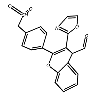 O=CC1C(c2ncco2)=C(c2ccc(C[SH](=O)=O)cc2)Oc2ccccc21